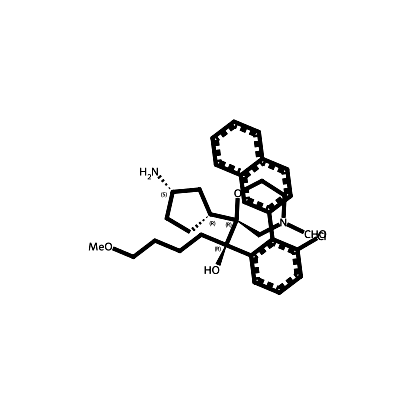 COCCCC[C@@](O)(c1cccc(Cl)c1-c1ccc2ccccc2c1)[C@@]1([C@@H]2CC[C@H](N)C2)CN(C=O)CCO1